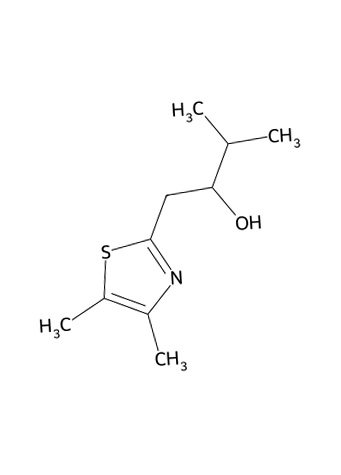 Cc1nc(CC(O)C(C)C)sc1C